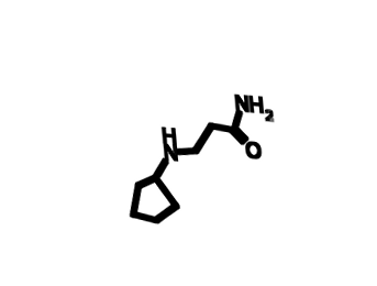 NC(=O)CCNC1CCCC1